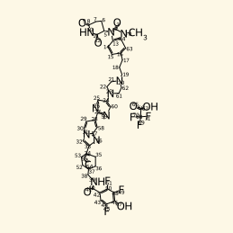 Cn1c(=O)n([C@@H]2CCC(=O)NC2=O)c2ccc(CCCN3CCN(c4cnc(-c5ccn6cc(C78CCC(CNC(=O)c9cc(F)c(O)c(F)c9F)(CC7)CC8)nc6c5)nc4)CC3)cc21.O=C(O)C(F)(F)F